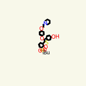 CCC(C)S(=O)(=O)C1C=CC=C(c2sc3cc(O)ccc3c2Oc2ccc(OCCN3CCCCC3)cc2)C1=O